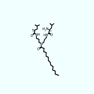 CCCCCCCCCCCCCC(=O)N(CCCNC(=O)[C@@H](C)CC(C)C)CCCNC(=O)[C@@H](N)CC(C)C